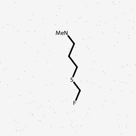 CNCCCSCF